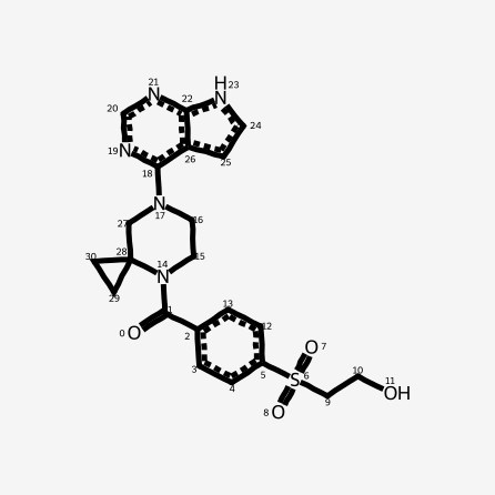 O=C(c1ccc(S(=O)(=O)CCO)cc1)N1CCN(c2ncnc3[nH]ccc23)CC12CC2